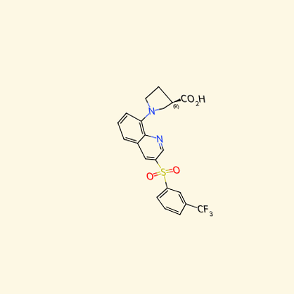 O=C(O)[C@@H]1CCN(c2cccc3cc(S(=O)(=O)c4cccc(C(F)(F)F)c4)cnc23)C1